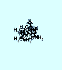 C[C@H](N)[C@H](Nc1nc(Nc2cnc3c(c2)c(N(C)C)nn3C)c(C(N)=O)cc1F)C1CCC1